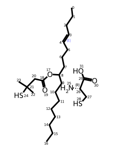 CCC/C=C/CCCC(CCCCCCCC)OC(=O)CC(C)(C)S.N[C@@H](CS)C(=O)O